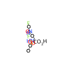 O=C(O)C(Cc1ccc(-c2noc(-c3ccc(F)cc3)n2)c(F)c1)NS(=O)(=O)c1ccc(-c2ccccc2)cc1